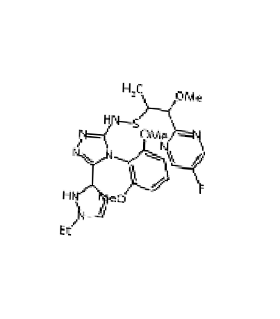 CCN1C=CC(c2nnc(NSC(C)C(OC)c3ncc(F)cn3)n2-c2c(OC)cccc2OC)N1